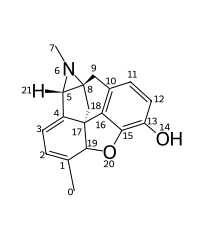 CC1=CC=C2[C@@H]3N(C)[C@@]34Cc3ccc(O)c5c3[C@@]2(C4)C1O5